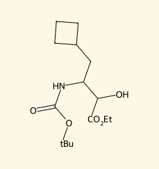 CCOC(=O)C(O)C(CC1CCC1)NC(=O)OC(C)(C)C